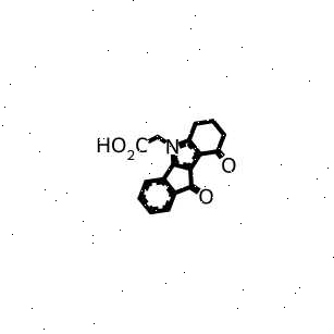 O=C(O)Cn1c2c(c3c1-c1ccccc1C3=O)C(=O)CCC2